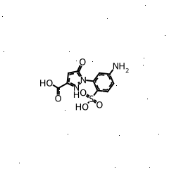 Nc1ccc(S(=O)(=O)O)c(-n2[nH]c(C(=O)O)cc2=O)c1